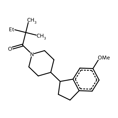 CCC(C)(C)C(=O)N1CCC(C2CCc3ccc(OC)cc32)CC1